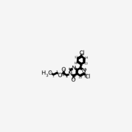 CCCOC(=O)Cn1cnc2c(-c3ccc(Cl)cc3)nc(Cl)cc2c1=O